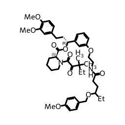 CCC(CCC(=O)NCCOc1cccc([C@@H](CCc2ccc(OC)c(OC)c2)OC(=O)[C@@H]2CCCCN2C(=O)C(=O)C(C)(C)CC)c1)OCc1ccc(OC)cc1